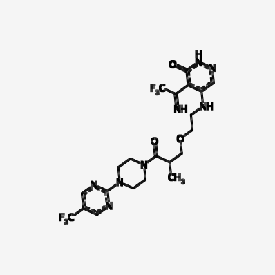 CC(COCCNc1cn[nH]c(=O)c1C(=N)C(F)(F)F)C(=O)N1CCN(c2ncc(C(F)(F)F)cn2)CC1